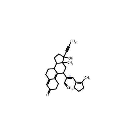 C=C/C(=C\C1=C(C)CCC1)C1CC2(C)C(CCC2(O)C#CC)C2CCC3=CC(=O)CCC3=C12